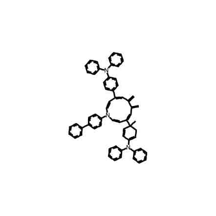 C=C1/C=C(c2ccc(N(c3ccccc3)c3ccccc3)cc2)\C=C/N(c2ccc(-c3ccccc3)cc2)/C=C\C(C2(C)C=CC(N(c3ccccc3)c3ccccc3)=CC2)=C/C1=C